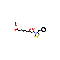 O=C(CCC=CCC(O)CC(=O)N1C(=S)SCC1Cc1ccccc1)OCC(Cl)(Cl)Cl